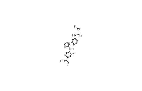 CC[C@@H](O)c1cc(C)c(Nc2nccn2-c2cc(NC(=O)[C@H]3C[C@H]3F)ncn2)cn1